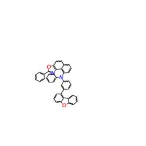 c1ccc(-c2nc3c(ccc4cccc(N(c5ccccc5)c5cccc(-c6cccc7oc8ccccc8c67)c5)c43)o2)cc1